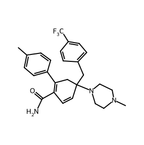 Cc1ccc(C2=C(C(N)=O)C=CC(Cc3ccc(C(F)(F)F)cc3)(N3CCN(C)CC3)C2)cc1